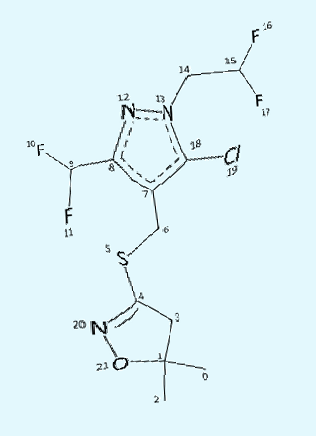 CC1(C)CC(SCc2c(C(F)F)nn(CC(F)F)c2Cl)=NO1